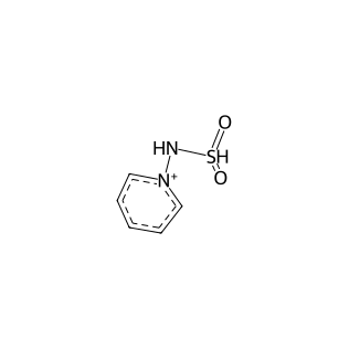 O=[SH](=O)N[n+]1ccccc1